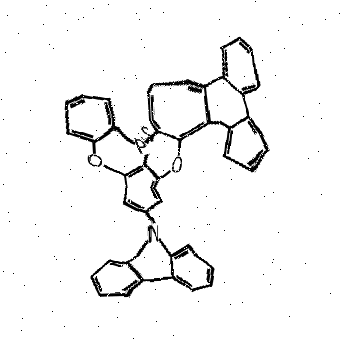 S=P12c3ccccc3Oc3cc(-n4c5ccccc5c5ccccc54)cc(c31)Oc1c2ccc2c3ccccc3c3ccccc3c12